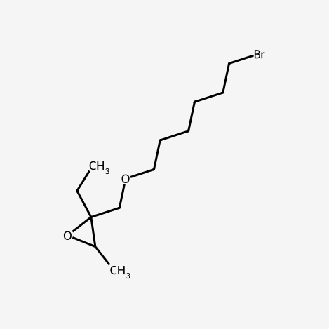 CCC1(COCCCCCCBr)OC1C